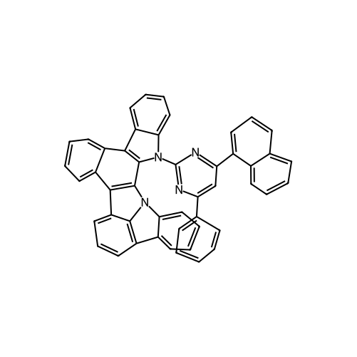 c1ccc(-c2cc(-c3cccc4ccccc34)nc(-n3c4ccccc4c4c5ccccc5c5c6cccc7c8ccccc8n(c76)c5c43)n2)cc1